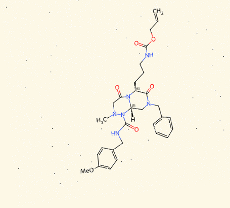 C=CCOC(=O)NCCC[C@H]1C(=O)N(Cc2ccccc2)C[C@H]2N1C(=O)CN(C)N2C(=O)NCc1ccc(OC)cc1